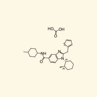 CC1CCC(NC(=O)c2ccc3c(c2)nc(Cc2cccs2)n3[C@@H]2CCCC[C@H]2C)CC1.O=C(O)O